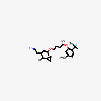 CCC[C@@H](CCCO/C(C)=C/C(=C\C=N)C(CC)C1CC1)Oc1cc(OC)ccc1C(C)(F)C(C)(C)C